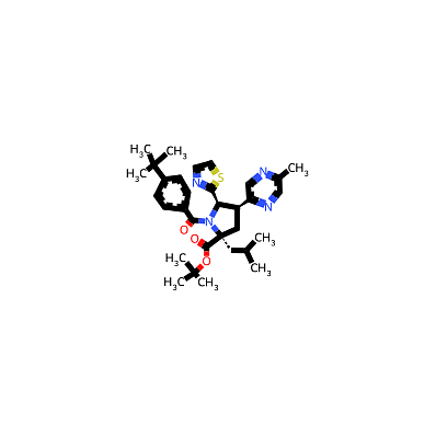 Cc1cnc([C@H]2C[C@@](CC(C)C)(C(=O)OC(C)(C)C)N(C(=O)c3ccc(C(C)(C)C)cc3)[C@H]2c2nccs2)cn1